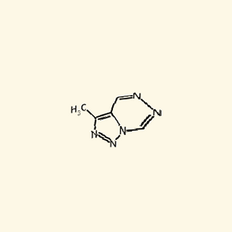 Cc1nnn2cnncc12